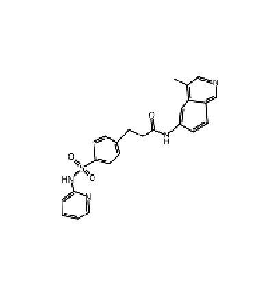 Cc1cncc2ccc(NC(=O)CCc3ccc(S(=O)(=O)Nc4ccccn4)cc3)cc12